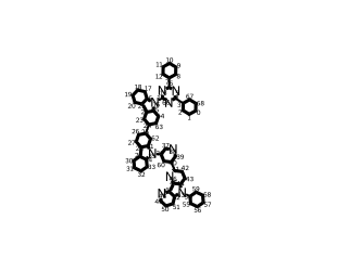 c1ccc(-c2nc(-c3ccccc3)nc(-n3c4ccccc4c4cc(-c5ccc6c7ccccc7n(-c7cncc(-c8ccc9c(n8)c8ncccc8n9-c8ccccc8)c7)c6c5)ccc43)n2)cc1